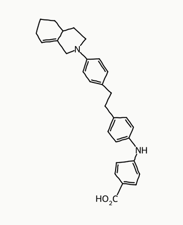 O=C(O)c1ccc(Nc2ccc(CCc3ccc(N4CCC5CCCC=C5C4)cc3)cc2)cc1